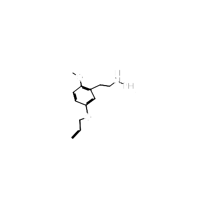 C=CCOc1ccc(OC)c(CCNP)c1